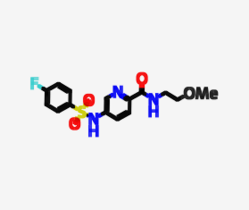 COCCNC(=O)c1ccc(NS(=O)(=O)c2ccc(F)cc2)cn1